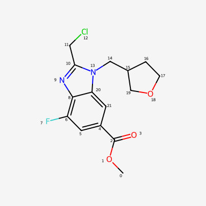 COC(=O)c1cc(F)c2nc(CCl)n(CC3CCOC3)c2c1